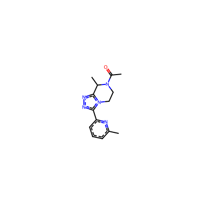 CC(=O)N1CCn2c(-c3cccc(C)n3)nnc2C1C